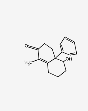 CC1=C2CCCC(O)C2(c2ccccc2)CCC1=O